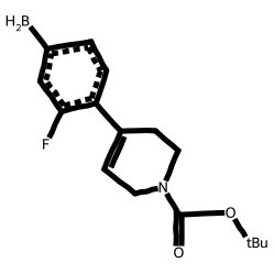 Bc1ccc(C2=CCN(C(=O)OC(C)(C)C)CC2)c(F)c1